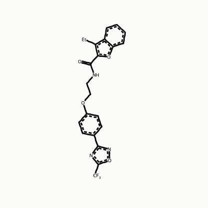 CCc1c(C(=O)NCCOc2ccc(-c3noc(C(F)(F)F)n3)cc2)oc2ccccc12